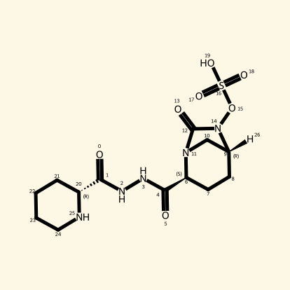 O=C(NNC(=O)[C@@H]1CC[C@@H]2CN1C(=O)N2OS(=O)(=O)O)[C@H]1CCCCN1